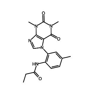 CCC(=O)Nc1ccc(C)cc1-n1cnc2c1c(=O)n(C)c(=O)n2C